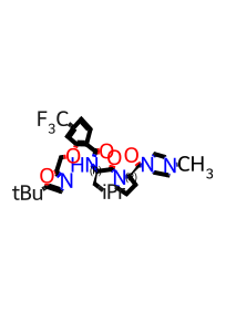 CC(C)C[C@@H](NC(=O)c1ccc(C(F)(F)F)cc1OCc1ncc(C(C)(C)C)o1)C(=O)N1CCC[C@@H]1C(=O)N1CCN(C)CC1